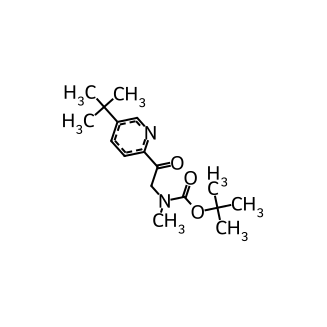 CN(CC(=O)c1ccc(C(C)(C)C)cn1)C(=O)OC(C)(C)C